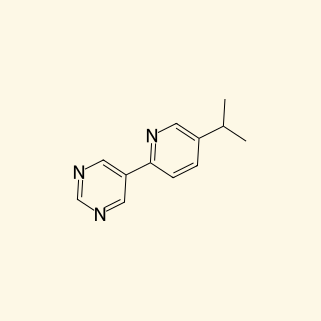 CC(C)c1ccc(-c2cncnc2)nc1